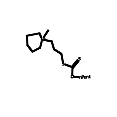 CCCCCOC(=S)SCCC[N+]1(C)CCCCC1